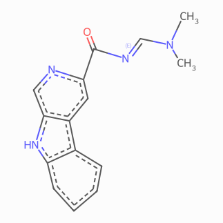 CN(C)/C=N/C(=O)c1cc2c(cn1)[nH]c1ccccc12